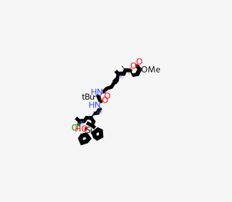 COC1=CC[C@@H]([C@@H](C)/C=C(\C)C#CCCC(=O)N[C@H](C(=O)N/C=C\C[C@H](C/C=C(\C)Cl)CC(C)(C)[Si](O)(c2ccccc2)c2ccccc2)C(C)(C)C)OC1=O